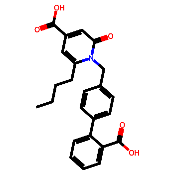 CCCCc1cc(C(=O)O)cc(=O)n1Cc1ccc(-c2ccccc2C(=O)O)cc1